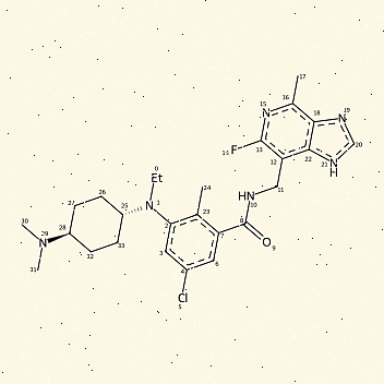 CCN(c1cc(Cl)cc(C(=O)NCc2c(F)nc(C)c3nc[nH]c23)c1C)[C@H]1CC[C@H](N(C)C)CC1